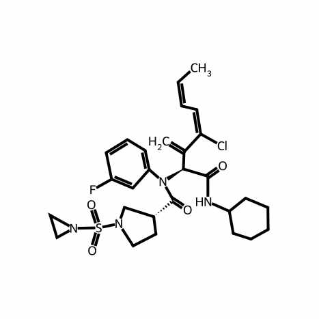 C=C(/C(Cl)=C\C=C/C)[C@@H](C(=O)NC1CCCCC1)N(C(=O)[C@@H]1CCN(S(=O)(=O)N2CC2)C1)c1cccc(F)c1